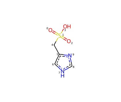 O=S(=O)(O)Cc1c[nH]cn1